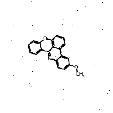 COc1ccc2nc3c4c(cccc4c2c1)Oc1ccccc1-3